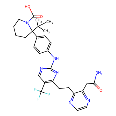 CC(C)(C)C1(c2ccc(Nc3ncc(C(F)(F)F)c(CCc4nccnc4CC(N)=O)n3)cc2)CCCCN1C(=O)O